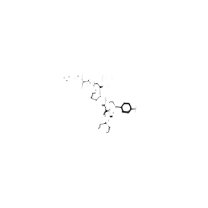 CN[C@@H](C)C(=O)N[C@H](C(=O)N1CCC[C@H]1CN(CCc1ccc(F)cc1)C(=O)c1cn(C2CCOCC2)cn1)C(C)(C)C